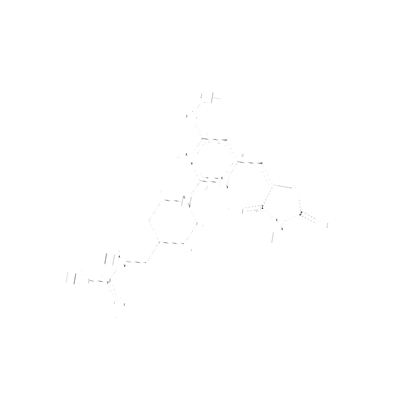 COc1cc(/C=C2/SC(=O)NC2=O)nc(N2CCC(CNC(=O)O)CC2)n1